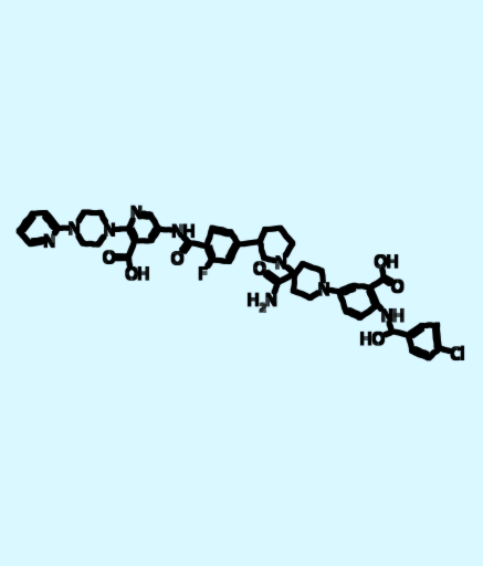 NC(=O)C1(N2CCCC(c3ccc(C(=O)Nc4cnc(N5CCN(c6ccccn6)CC5)c(C(=O)O)c4)c(F)c3)C2)CCN(c2ccc(NC(O)c3ccc(Cl)cc3)c(C(=O)O)c2)CC1